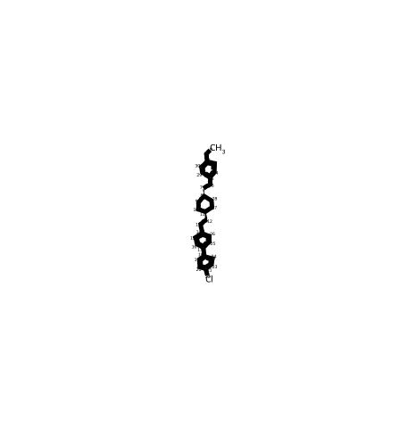 CCc1ccc(CC[C@H]2CC[C@H](CCc3ccc(-c4ccc(Cl)cc4)cc3)CC2)cc1